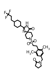 Cc1cc(CN2CCCC2=O)cc(C)c1CCS(=O)(=O)N1CCC2(CC1)N=C(C1CCC(CCC(F)(F)F)CC1)NC2=O